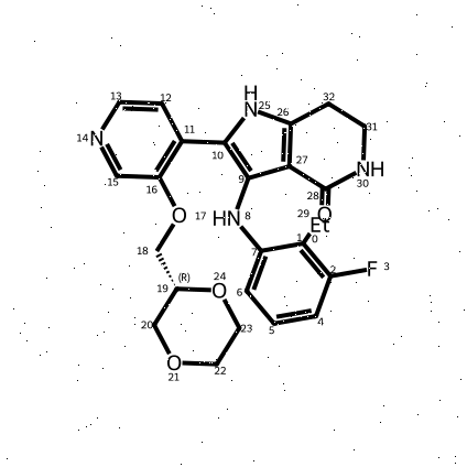 CCc1c(F)cccc1Nc1c(-c2ccncc2OC[C@H]2COCCO2)[nH]c2c1C(=O)NCC2